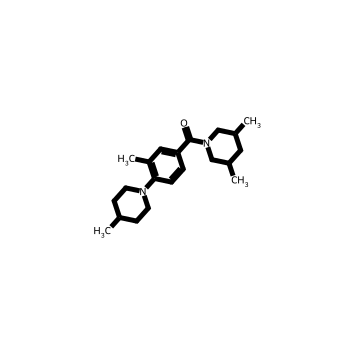 Cc1cc(C(=O)N2CC(C)CC(C)C2)ccc1N1CCC(C)CC1